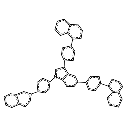 c1ccc2cc(-c3ccc(-n4cc(-c5ccc(-c6cccc7ccccc67)cc5)c5cc(-c6ccc(-c7cccc8ccccc78)cc6)ccc54)cc3)ccc2c1